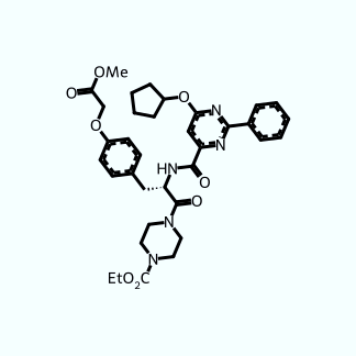 CCOC(=O)N1CCN(C(=O)[C@H](Cc2ccc(OCC(=O)OC)cc2)NC(=O)c2cc(OC3CCCC3)nc(-c3ccccc3)n2)CC1